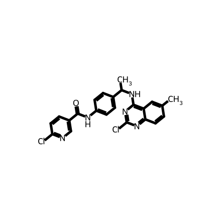 Cc1ccc2nc(Cl)nc(NC(C)c3ccc(NC(=O)c4ccc(Cl)nc4)cc3)c2c1